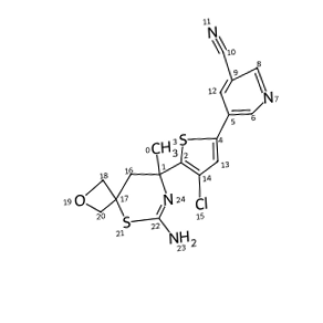 CC1(c2sc(-c3cncc(C#N)c3)cc2Cl)CC2(COC2)SC(N)=N1